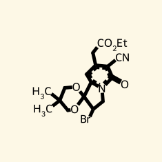 CCOC(=O)Cc1cc2n(c(=O)c1C#N)CC(Br)C21OCC(C)(C)CO1